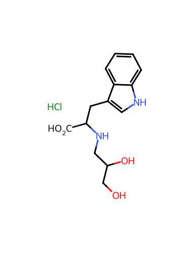 Cl.O=C(O)C(Cc1c[nH]c2ccccc12)NCC(O)CO